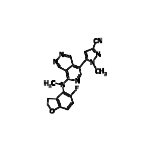 CN(c1c(F)ccc2c1CCO2)c1ncc(-c2cc(C#N)nn2C)c2cnncc12